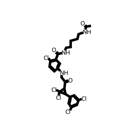 CC(=O)NCCCCCNC(=O)c1cc(NCC(=O)C2C(c3cc(Cl)cc(Cl)c3)C2(Cl)Cl)ccc1Cl